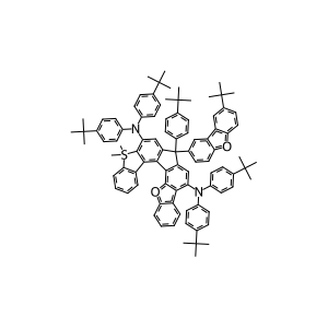 CC(C)(C)c1ccc(N(c2ccc(C(C)(C)C)cc2)c2cc3c(c4c2S(C)(C)c2ccccc2-4)-c2c(cc(N(c4ccc(C(C)(C)C)cc4)c4ccc(C(C)(C)C)cc4)c4c2oc2ccccc24)C3(c2ccc(C(C)(C)C)cc2)c2ccc3oc4ccc(C(C)(C)C)cc4c3c2)cc1